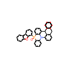 O=P1(c2cccc3c2oc2ccccc23)c2ccccc2N2c3cccc4c3C3(c5ccccc5C4c4ccccc43)c3cccc1c32